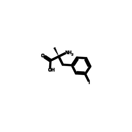 C[C@](N)(Cc1cccc(I)c1)C(=O)O